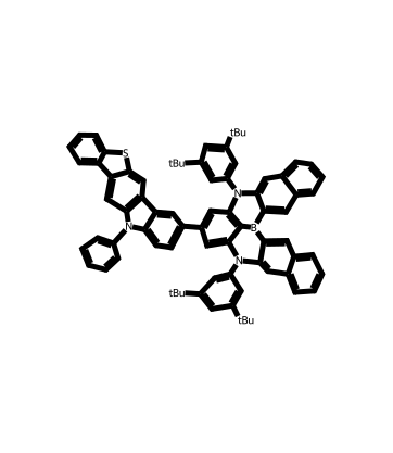 CC(C)(C)c1cc(N2c3cc4ccccc4cc3B3c4cc5ccccc5cc4N(c4cc(C(C)(C)C)cc(C(C)(C)C)c4)c4cc(-c5ccc6c(c5)c5cc7sc8ccccc8c7cc5n6-c5ccccc5)cc2c43)cc(C(C)(C)C)c1